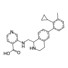 Cc1cccc(-c2ccc3c(c2)CCNC3CNc2cnccc2C(=O)O)c1C1CC1